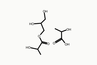 CC(O)C(=O)O.CC(O)C(=O)OCC(O)CO